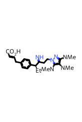 CC[C@H](C(=N)CCn1nc(NC)c(NC)c1NC)c1ccc(C/C=C/C(=O)O)cc1